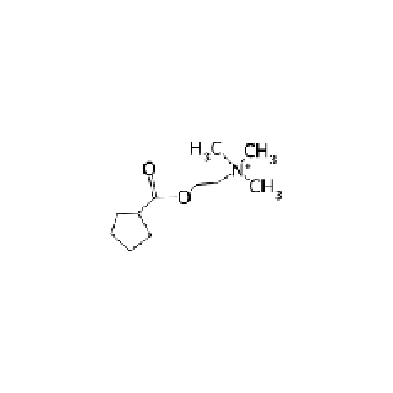 C[N+](C)(C)CCOC(=O)C1CCCC1